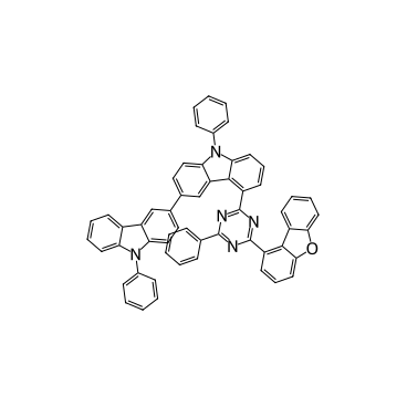 c1ccc(-c2nc(-c3cccc4oc5ccccc5c34)nc(-c3cccc4c3c3cc(-c5ccc6c(c5)c5ccccc5n6-c5ccccc5)ccc3n4-c3ccccc3)n2)cc1